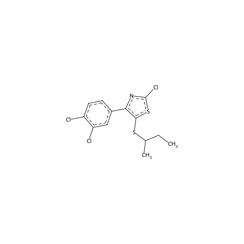 CCC(C)Sc1sc(Cl)nc1-c1ccc(Cl)c(Cl)c1